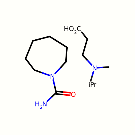 CC(C)N(C)CCC(=O)O.NC(=O)N1CCCCCC1